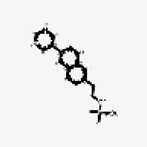 CC(C)(C)[Si](C)(C)OCCc1ccc2cc(-c3cncnc3)ccc2c1